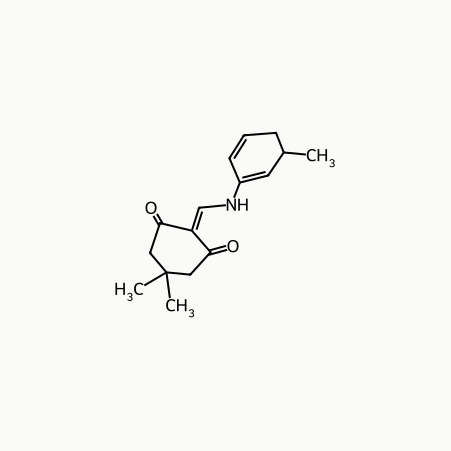 CC1C=C(NC=C2C(=O)CC(C)(C)CC2=O)C=CC1